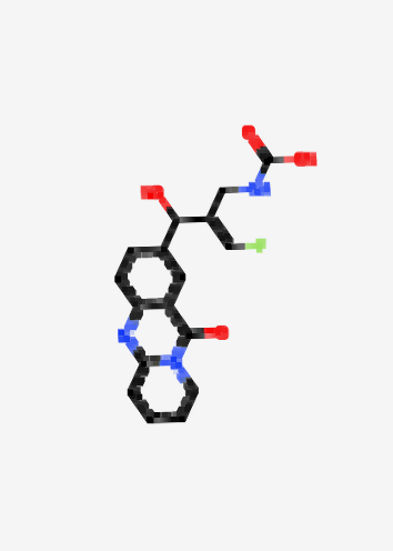 O=C(O)NCC(=CF)C(O)c1ccc2nc3ccccn3c(=O)c2c1